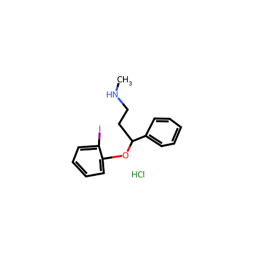 CNCCC(Oc1ccccc1I)c1ccccc1.Cl